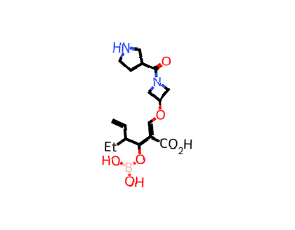 C=CC(CC)C(OB(O)O)/C(=C/OC1CN(C(=O)C2CCNC2)C1)C(=O)O